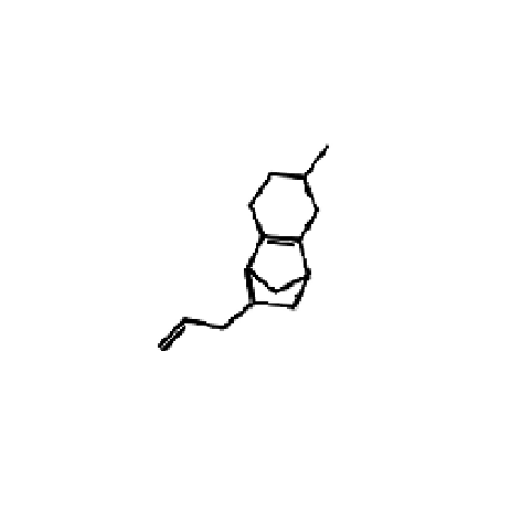 C=CCC1CC2CC1C1=C2CC(C)CC1